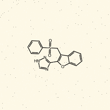 O=S(=O)(Cc1c(-c2nc[nH]n2)oc2ccccc12)c1ccccc1